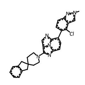 Cn1cc2c(Cl)c(-c3ccc4nc(N5CCC6(CC5)Cc5ccccc5C6)c5cnc3n45)ccc2n1